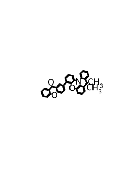 CC1(C)c2ccccc2N2c3cccc(-c4ccc5oc6ccccc6c(=O)c5c4)c3Oc3cccc1c32